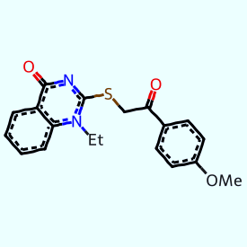 CCn1c(SCC(=O)c2ccc(OC)cc2)nc(=O)c2ccccc21